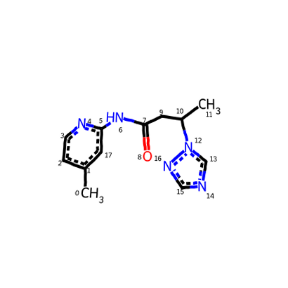 Cc1ccnc(NC(=O)CC(C)n2cncn2)c1